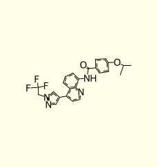 CC(C)Oc1ccc(C(=O)Nc2cccc3c(-c4cnn(CC(F)(F)F)c4)ccnc23)cc1